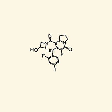 O=C(c1c(Nc2ccc(I)cc2F)c(F)c(=O)n2c1CCC2)N1CC(O)C1